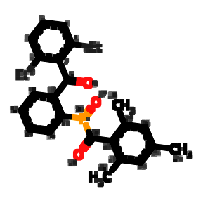 CCc1cccc(CC)c1C(=O)c1ccccc1[P](=O)C(=O)c1c(C)cc(C)cc1C